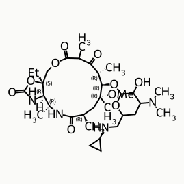 CC[C@@]12COC(=O)C(C)C(=O)[C@H](C)[C@@H](OC3OC(CNC4CC4)CC(N(C)C)C3O)[C@](C)(OC)C[C@@H](C)C(=O)N[C@H](C)[C@H]1NC(=O)O2